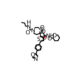 CCCNC(=O)N1CCC(CC(=O)NOC2CCCCO2)(c2ccc(-c3ccc(-c4cnco4)cc3)s2)S(=O)(=O)CC1